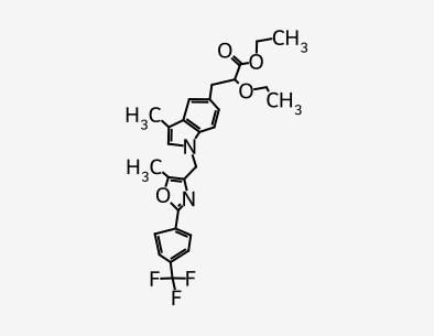 CCOC(=O)C(Cc1ccc2c(c1)c(C)cn2Cc1nc(-c2ccc(C(F)(F)F)cc2)oc1C)OCC